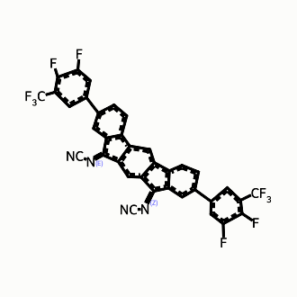 N#C/N=c1/c2cc(-c3cc(F)c(F)c(C(F)(F)F)c3)ccc2c2cc3c(cc12)/c(=N/C#N)c1cc(-c2cc(F)c(F)c(C(F)(F)F)c2)ccc13